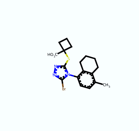 Cc1ccc(-n2c(Br)nnc2SC2(C(=O)O)CCC2)c2c1CCCC2